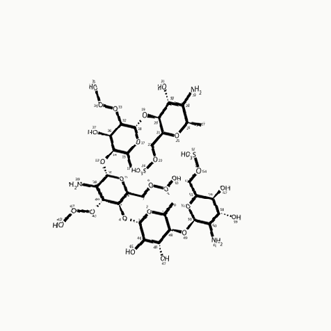 CC1O[C@@H](O[C@@H]2C(COOO)O[C@@H](O[C@@H]3C(C)O[C@@H](O[C@@H]4C(COS(=O)(=O)O)O[C@H](C)C(N)[C@H]4O)C(OOO)[C@@H]3O)C(N)[C@H]2OOO)C(O)[C@@H](O)[C@@H]1O[C@H]1OC(COS(=O)(=O)O)[C@@H](O)[C@H](O)C1N